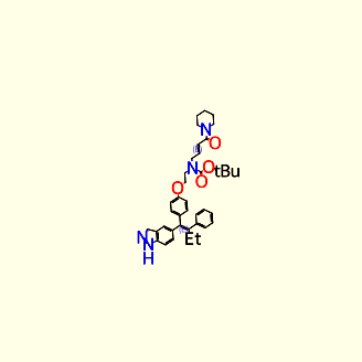 CC/C(=C(/c1ccc(OCCN(C/C=C/C(=O)N2CCCCC2)C(=O)OC(C)(C)C)cc1)c1ccc2[nH]ncc2c1)c1ccccc1